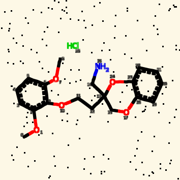 COc1cccc(OC)c1OCCC1(CN)COc2ccccc2O1.Cl